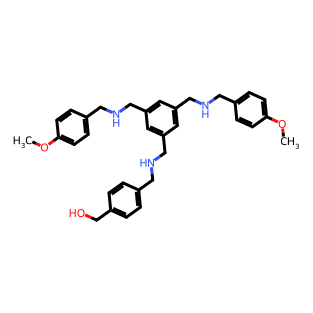 COc1ccc(CNCc2cc(CNCc3ccc(CO)cc3)cc(CNCc3ccc(OC)cc3)c2)cc1